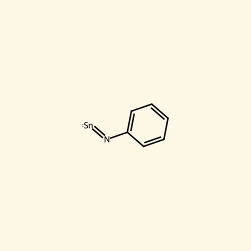 [Sn]=[N]c1ccccc1